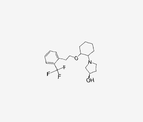 O[C@@H]1CCN(C2CCCCC2OCCc2ccccc2C(F)(F)F)C1